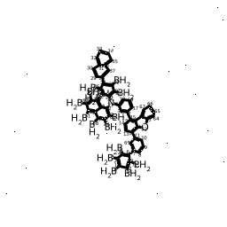 Bc1c(B)c(B)c(-c2cccc(-c3ccc(-c4cccc(N(c5c(B)c(B)c(-c6ccc7ccccc7c6)c(B)c5B)c5c(B)c(B)c(B)c6c(B)c(B)c(B)c(B)c56)c4)c4c3oc3ccccc34)c2)c(B)c1B